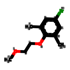 COCCOc1c(C)cc(Br)cc1C